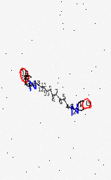 O=C=NC=CCCCCCCCCCN=C=O